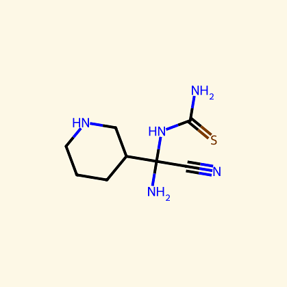 N#CC(N)(NC(N)=S)C1CCCNC1